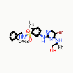 CC[C@H](CO)Nc1nc(Nc2ccc(C)c(S(=O)(=O)NCc3ccccc3OC)c2)ncc1Br